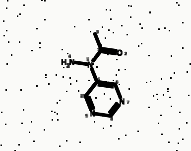 CC(=O)N(N)c1cncnc1